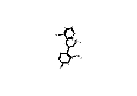 Cc1cc(F)ccc1C(CN)Cc1ncccc1I